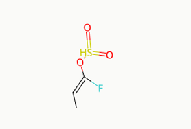 CC=C(F)O[SH](=O)=O